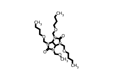 CCCCOCN1C(=O)N(COCCCC)C2C1N(COC)C(=O)N2COCCCC